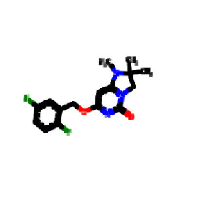 CN1c2cc(OCc3cc(F)ccc3F)nc(=O)n2CC1(C)C